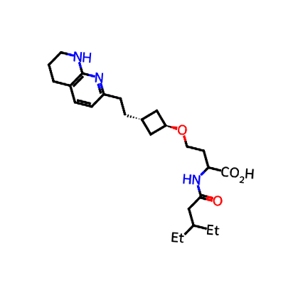 CCC(CC)CC(=O)NC(CCO[C@H]1C[C@H](CCc2ccc3c(n2)NCCC3)C1)C(=O)O